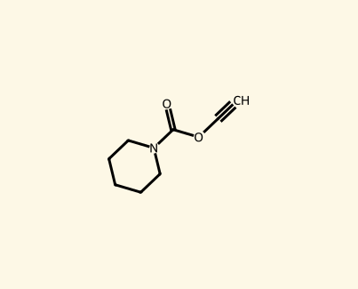 C#COC(=O)N1CCCCC1